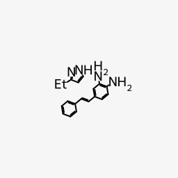 CCc1cc[nH]n1.Nc1ccc(C=Cc2ccccc2)cc1N